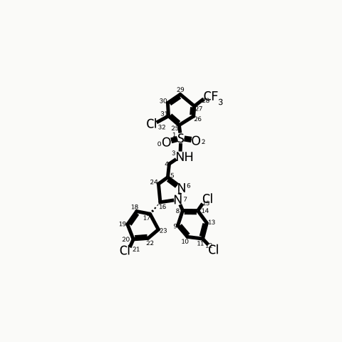 O=S(=O)(NCC1=NN(c2ccc(Cl)cc2Cl)[C@H](C2C=CC(Cl)=CC2)C1)c1cc(C(F)(F)F)ccc1Cl